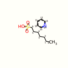 CCCCCCCS(=O)(=O)O.c1ccncc1